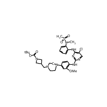 COc1cc(N2CCN(CC3CN(C(=O)OC(C)(C)C)C3)CC2)ccc1Nc1ncc(Cl)c(Nc2ccccc2N(C)S(C)(=O)=O)n1